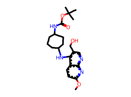 COc1ccc2c(NC3CCCC(NC(=O)OC(C)(C)C)CC3)c(CO)cnc2n1